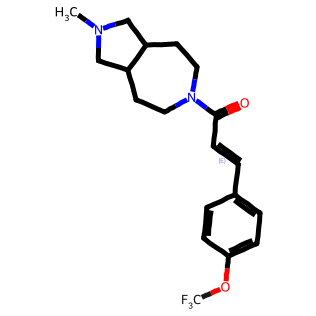 CN1CC2CCN(C(=O)/C=C/c3ccc(OC(F)(F)F)cc3)CCC2C1